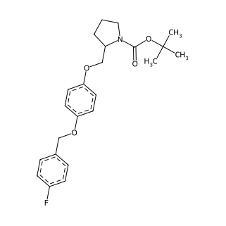 CC(C)(C)OC(=O)N1CCCC1COc1ccc(OCc2ccc(F)cc2)cc1